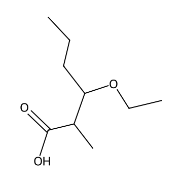 CCCC(OCC)C(C)C(=O)O